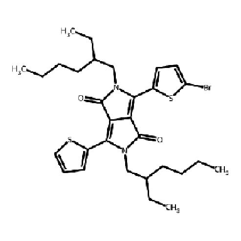 CCCCC(CC)CN1C(=O)C2=C(c3ccc(Br)s3)N(CC(CC)CCCC)C(=O)C2=C1c1cccs1